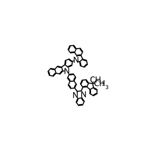 CC1(C)c2ccccc2-c2c(-c3nc4ccccc4nc3-c3ccc4cc(-n5c6cc(-n7c8ccccc8c8ccc9ccccc9c87)ccc6c6cc7ccccc7cc65)ccc4c3)cccc21